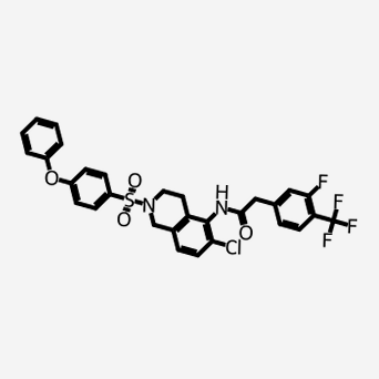 O=C(Cc1ccc(C(F)(F)F)c(F)c1)Nc1c(Cl)ccc2c1CCN(S(=O)(=O)c1ccc(Oc3ccccc3)cc1)C2